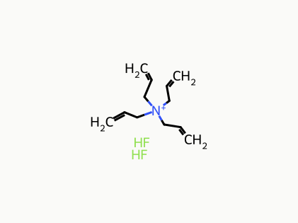 C=CC[N+](CC=C)(CC=C)CC=C.F.F